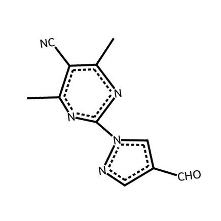 Cc1nc(-n2cc(C=O)cn2)nc(C)c1C#N